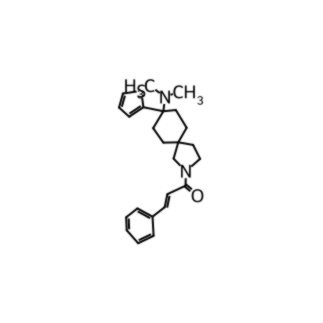 CN(C)C1(c2cccs2)CCC2(CCN(C(=O)/C=C/c3ccccc3)C2)CC1